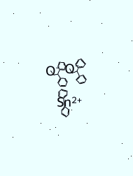 [O-]CC(c1ccccc1)c1ccccc1.[O-]CC(c1ccccc1)c1ccccc1.c1cc[c]([Sn+2][c]2ccccc2)cc1